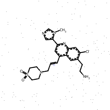 Cn1cncc1-c1cc(/C=C/CN2CCS(=O)(=O)CC2)c2cc(CCN)c(Cl)cc2n1